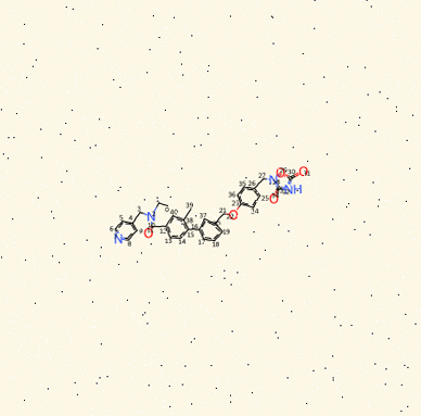 CCN(Cc1ccncc1)C(=O)c1ccc(-c2cccc(COc3ccc(Cn4oc(=O)[nH]c4=O)cc3)c2)c(C)c1